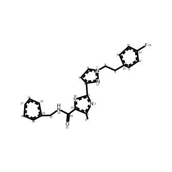 Cc1nc(-c2ccn(CCc3ccc(F)cc3)n2)sc1C(=O)NCc1ccccc1